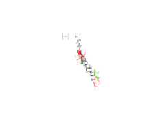 BCOc1ccc(-c2ccc(-c3ccc(C4COC(CCCCCCC)OC4)c(F)c3)cc2)c(F)c1F